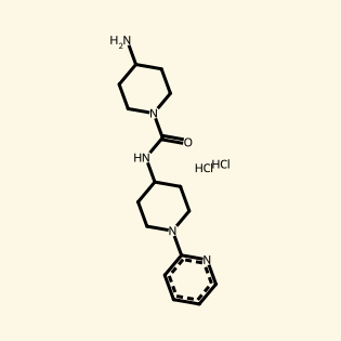 Cl.Cl.NC1CCN(C(=O)NC2CCN(c3ccccn3)CC2)CC1